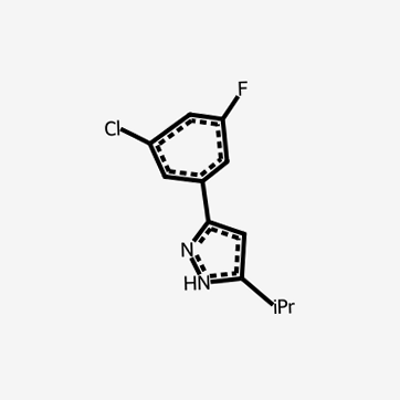 CC(C)c1cc(-c2cc(F)cc(Cl)c2)n[nH]1